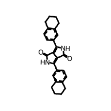 O=C1NC(c2ccc3c(c2)CCCC3)=C2C(=O)NC(c3ccc4c(c3)CCCC4)=C12